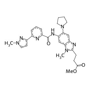 COC(=O)CCc1nc2cc(N3CCCC3)c(NC(=O)c3cccc(-c4ccn(C)n4)n3)cc2n1C